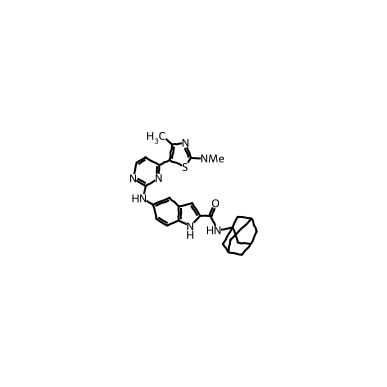 CNc1nc(C)c(-c2ccnc(Nc3ccc4[nH]c(C(=O)NC56CC7CC(CC(C7)C5)C6)cc4c3)n2)s1